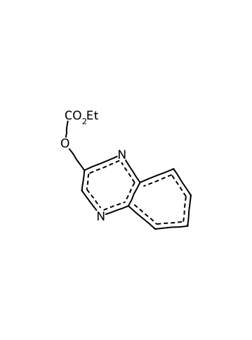 CCOC(=O)Oc1cnc2ccccc2n1